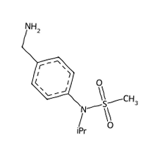 CC(C)N(c1ccc(CN)cc1)S(C)(=O)=O